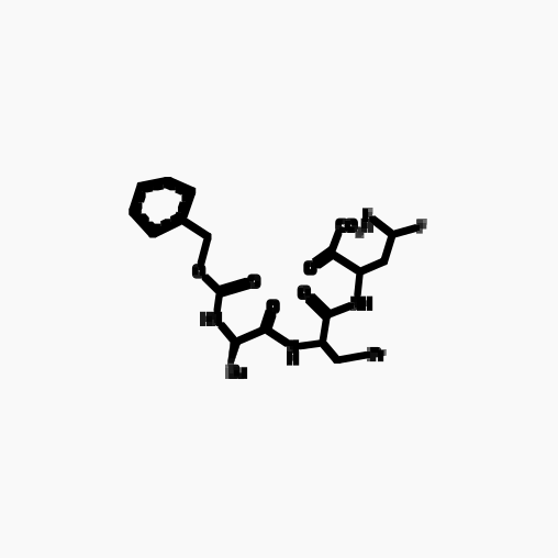 CC[C@H](C)C(NC(=O)OCc1ccccc1)C(=O)NC(CC(C)C)C(=O)NC(CC(F)F)C(=O)C(=O)O